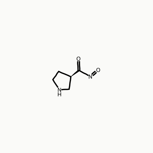 O=NC(=O)[C@@H]1CCNC1